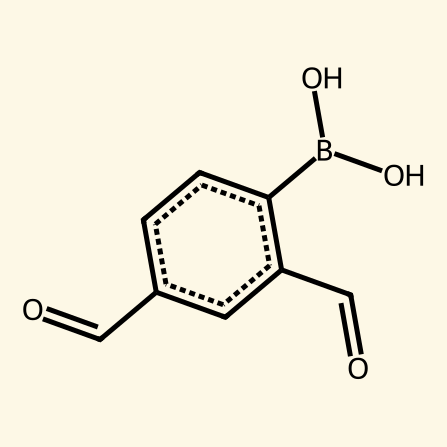 O=Cc1ccc(B(O)O)c(C=O)c1